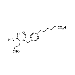 NC(=O)C(CCC=O)N1Cc2ccc(CCCCCC(=O)O)cc2C1=O